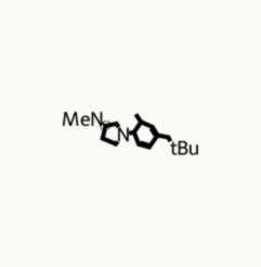 CN[C@H]1CCN(C2C=CC(CC(C)(C)C)=CC2C)C1